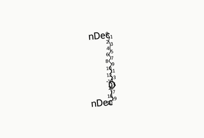 CCCCCCCCCCCCCCCCCCCCCCC[CH]OCCCCCCCCCCCCCC